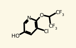 Oc1cnc(OC(C(F)(F)F)C(F)(F)F)c(Cl)c1